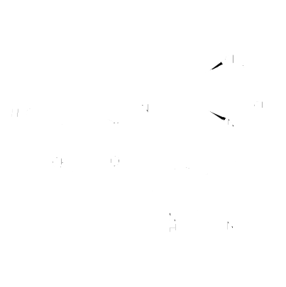 CC(C)CC(=O)N1CC[C@@H](C)[C@@H](N(C)c2ccnc3[nH]ccc23)C1